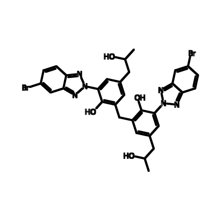 CC(O)Cc1cc(Cc2cc(CC(C)O)cc(-n3nc4ccc(Br)cc4n3)c2O)c(O)c(-n2nc3ccc(Br)cc3n2)c1